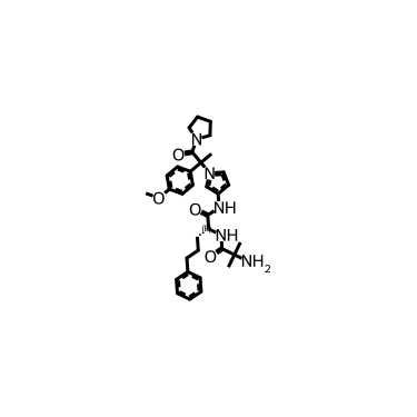 COc1ccc(C(C)(C(=O)N2CCCC2)n2ccc(NC(=O)[C@@H](CCCc3ccccc3)NC(=O)C(C)(C)N)c2)cc1